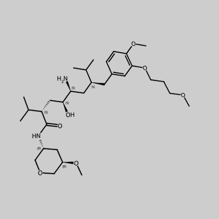 COCCCOc1cc(C[C@@H](C[C@H](N)[C@@H](O)C[C@H](C(=O)N[C@H]2COC[C@H](OC)C2)C(C)C)C(C)C)ccc1OC